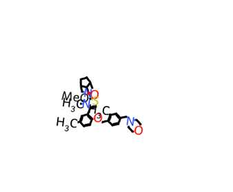 COC(=O)C1C2CCC1CN(C1SC=C(c3cc(C)ccc3OCc3ccc(CN4CCOCC4)cc3C)N1C)C2